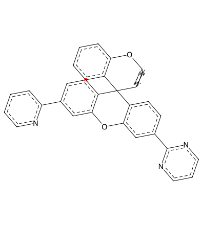 c1ccc(-c2ccc3c(c2)Oc2cc(-c4ncccn4)ccc2C32c3ccccc3Oc3ccccc32)nc1